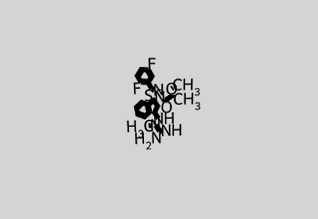 CO[C@@H](C)C(=O)N1N=C(c2cc(F)ccc2F)SC1(CCNN(C)C(=N)N)c1ccccc1